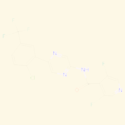 O=C(Nc1cnc(-c2cc(C(F)(F)F)ccc2Cl)cn1)c1c(F)cncc1F